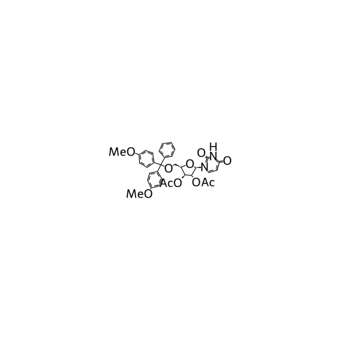 COc1ccc(C(OC[C@H]2O[C@@H](n3ccc(=O)[nH]c3=O)C(OC(C)=O)[C@H]2OC(C)=O)(c2ccccc2)c2ccc(OC)cc2)cc1